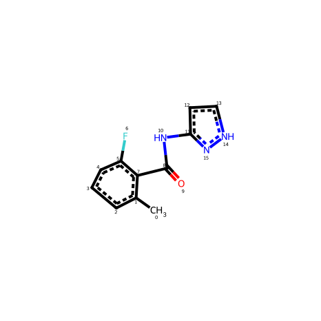 Cc1cccc(F)c1C(=O)Nc1cc[nH]n1